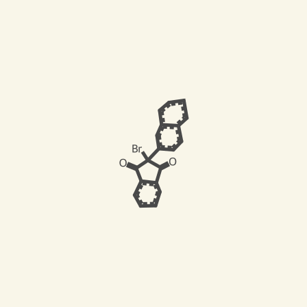 O=C1c2ccccc2C(=O)C1(Br)c1ccc2ccccc2c1